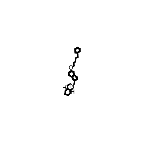 c1ccc(CCCCCOc2ccc3cc(CN4CC[C@@H]5CCCC[C@@H]5C4)ccc3c2)cc1